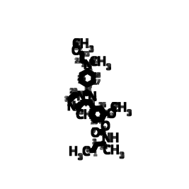 CCC[C@H](C)NC(=O)Oc1ccc(-c2nc([C@H]3CC[C@H](N(C)CCOC)CC3)n3ccnc(C)c23)cc1OC